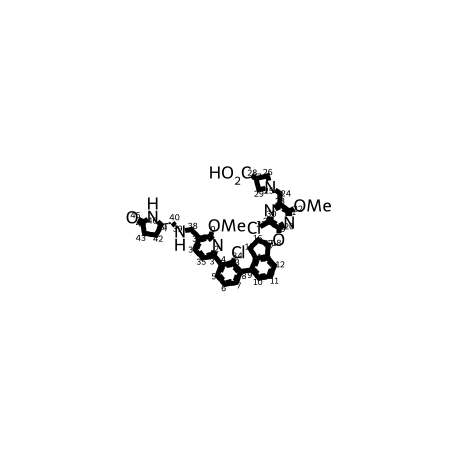 COc1nc(-c2cccc(-c3cccc4c3CC[C@@H]4Oc3nc(OC)c(CN4CC(C(=O)O)C4)nc3Cl)c2Cl)ccc1CNC[C@@H]1CCC(=O)N1